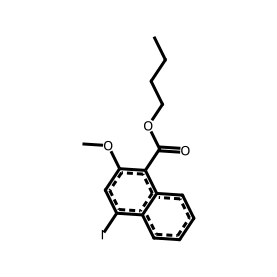 CCCCOC(=O)c1c(OC)cc(I)c2ccccc12